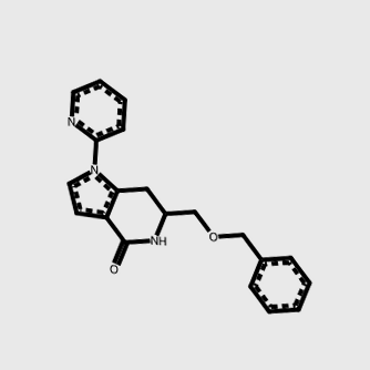 O=C1NC(COCc2ccccc2)Cc2c1ccn2-c1ccccn1